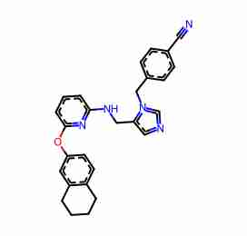 N#Cc1ccc(Cn2cncc2CNc2cccc(Oc3ccc4c(c3)CCCC4)n2)cc1